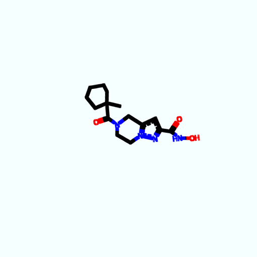 CC1(C(=O)N2CCn3nc(C(=O)NO)cc3C2)CCCCC1